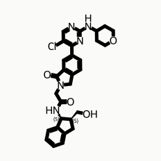 O=C(CN1Cc2ccc(-c3nc(NC4CCOCC4)ncc3Cl)cc2C1=O)N[C@@H]1c2ccccc2C[C@@H]1CO